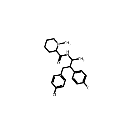 CC(NC(=O)C1CCCCN1C)C(Cc1ccc(Cl)cc1)c1ccc(Cl)cc1